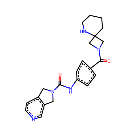 O=C(Nc1ccc(C(=O)N2CC3(CCCCN3)C2)cc1)N1Cc2ccncc2C1